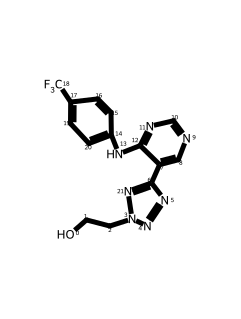 OCCn1nnc(-c2cncnc2Nc2ccc(C(F)(F)F)cc2)n1